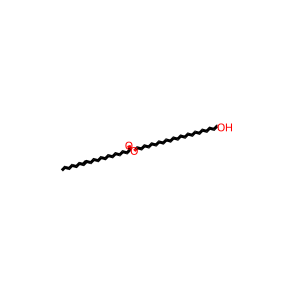 CCCCCCC=CCCCCCCCCCCCC(=O)OCCCCCCCCCCCCCCCCCCCCCCCO